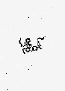 C=C/C=C\C=C(/C)C/C(N)=N/C(=N\CC1=C/C(=C/C=C\C=C)CC=C1CC1=CCC=C(/C(CC)=C(/C)OCC/C=C\C=C/CC)C=C1)c1ccccc1